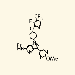 CCNc1cc2c(cn1)c(-c1cnc(OC)nc1)nn2C1CCC(Oc2nccc(C(F)(F)F)c2F)CC1